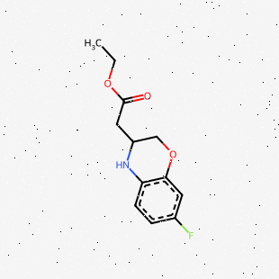 CCOC(=O)CC1COc2cc(F)ccc2N1